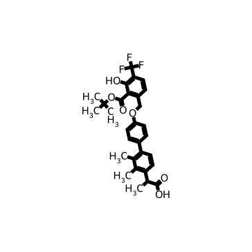 Cc1c(-c2ccc(OCc3ccc(C(F)(F)F)c(O)c3C(=O)OC(C)(C)C)cc2)ccc(C(C)C(=O)O)c1C